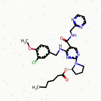 CCCCCC(=O)O[C@H]1CCCN1c1ncc(C(=O)NCc2ncccn2)c(NCc2ccc(OC)c(Cl)c2)n1